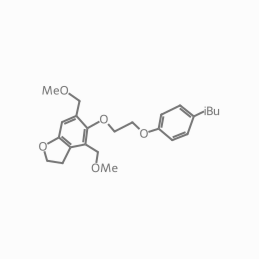 CCC(C)c1ccc(OCCOc2c(COC)cc3c(c2COC)CCO3)cc1